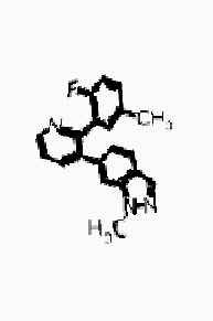 Cc1ccc(F)c(-c2ncccc2-c2ccc3cnn(C)c3c2)c1